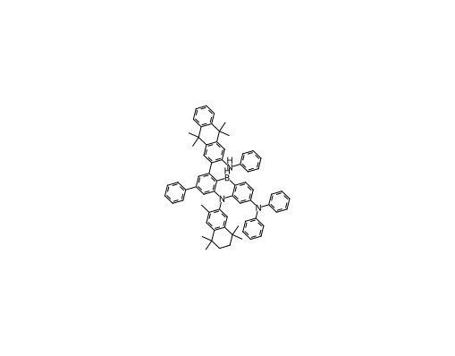 Cc1cc2c(cc1N1c3cc(N(c4ccccc4)c4ccccc4)ccc3Bc3c(-c4cc5c(cc4Nc4ccccc4)C(C)(C)c4ccccc4C5(C)C)cc(-c4ccccc4)cc31)C(C)(C)CCC2(C)C